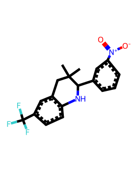 CC1(C)Cc2cc(C(F)(F)F)ccc2NC1c1cccc([N+](=O)[O-])c1